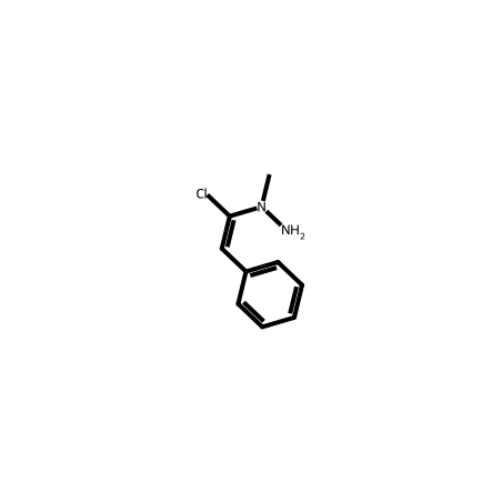 CN(N)/C(Cl)=C\c1ccccc1